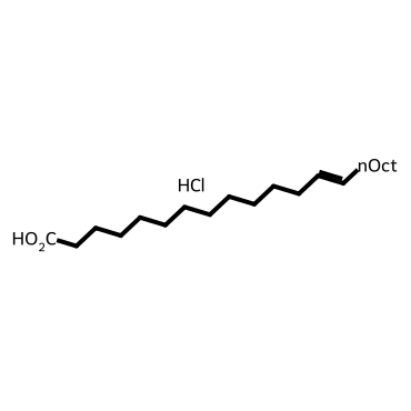 CCCCCCCCC=CCCCCCCCCCCCC(=O)O.Cl